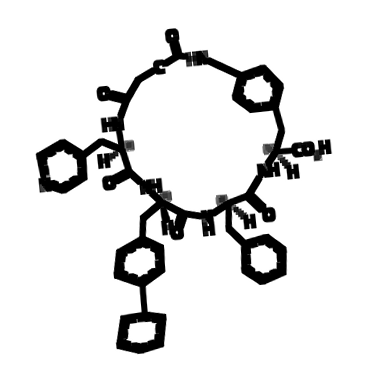 O=C1CCC(=O)N[C@H](Cc2ccncc2)C(=O)N[C@@H](Cc2ccc(-c3ccccc3)cc2)C(=O)N[C@H](Cc2ccccc2)C(=O)N[C@H](C(=O)O)Cc2ccc(cc2)N1